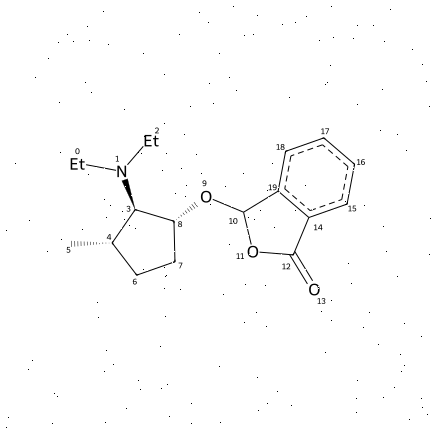 CCN(CC)[C@@H]1[C@@H](C)CC[C@H]1OC1OC(=O)c2ccccc21